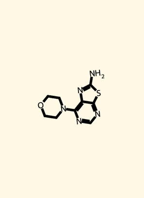 Nc1nc2c(N3CCOCC3)ncnc2s1